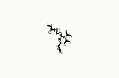 CCC(=O)NCOP(OCCC#N)N(C(C)C)C(C)C